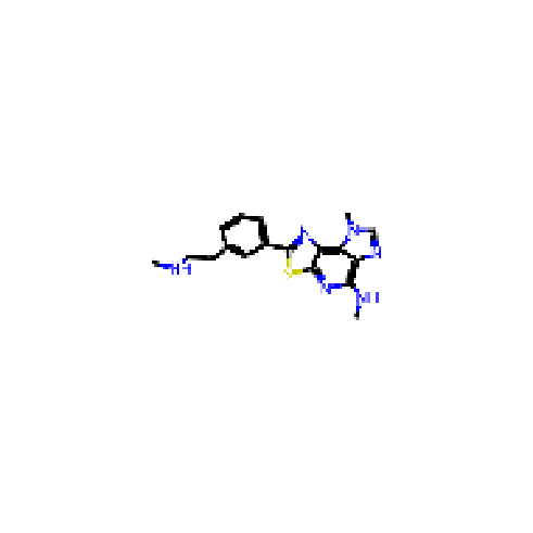 CNCCc1cccc(-c2nc3c(nc(NC)c4ncn(C)c43)s2)c1